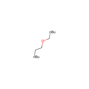 CCCCCCOCCCCC